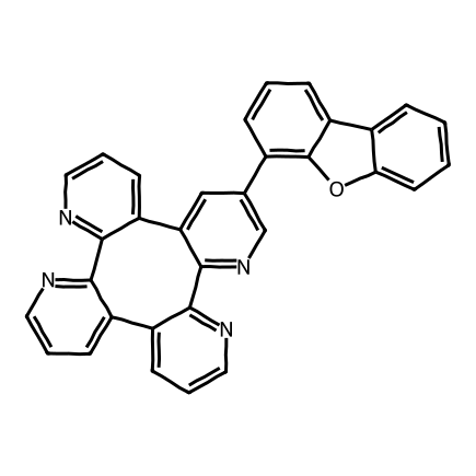 c1cnc2c(c1)-c1cccnc1-c1ncc(-c3cccc4c3oc3ccccc34)cc1-c1cccnc1-2